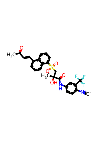 [C-]#[N+]c1ccc(NC(=O)C(C)(O)CS(=O)(=O)c2cccc3c(/C=C/C(C)=O)cccc23)cc1C(F)(F)F